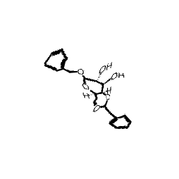 O[C@@H]1[C@@H](O)[C@H](OCc2ccccc2)O[C@@H]2COC(c3ccccc3)O[C@H]12